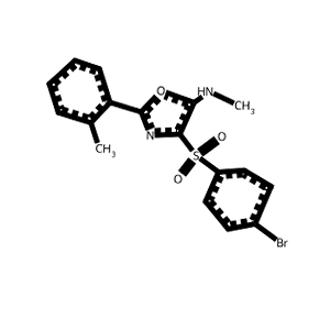 CNc1oc(-c2ccccc2C)nc1S(=O)(=O)c1ccc(Br)cc1